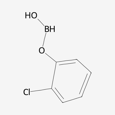 OBOc1ccccc1Cl